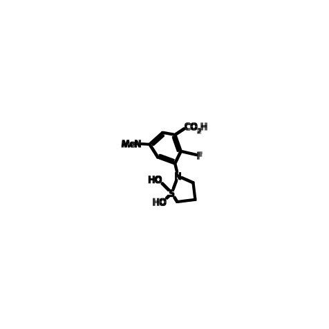 CNc1cc(C(=O)O)c(F)c(N2CCCS2(O)O)c1